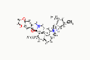 CC[N+](CC)(CCCCN(Cc1ccc2c(c1)OCCO2)C(=O)c1cc2ccccc2cc1OC)Cc1cc(C)cc(C)c1